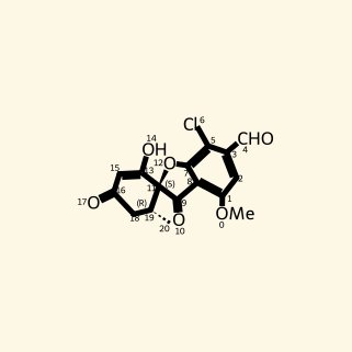 COc1cc(C=O)c(Cl)c2c1C(=O)[C@@]1(O2)C(O)=CC(=O)C[C@H]1C